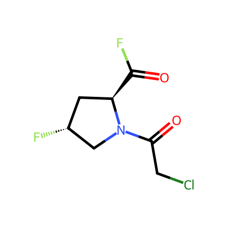 O=C(F)[C@@H]1C[C@@H](F)CN1C(=O)CCl